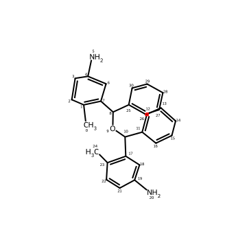 Cc1ccc(N)cc1C(OC(c1ccccc1)c1cc(N)ccc1C)c1ccccc1